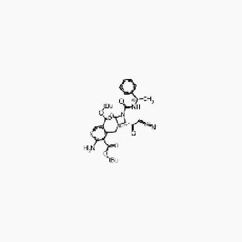 C[C@@H](NC(=O)N1C(=O)[C@H](Cc2c(C(=O)OC(C)(C)C)cnc(N)c2C(=O)OC(C)(C)C)[C@H]1C(=O)C=[N+]=[N-])c1ccccc1